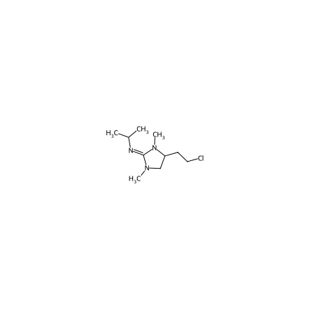 CC(C)N=C1N(C)CC(CCCl)N1C